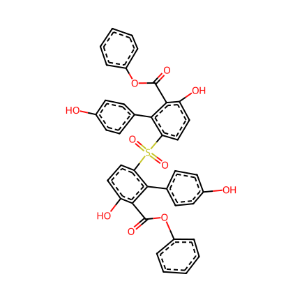 O=C(Oc1ccccc1)c1c(O)ccc(S(=O)(=O)c2ccc(O)c(C(=O)Oc3ccccc3)c2-c2ccc(O)cc2)c1-c1ccc(O)cc1